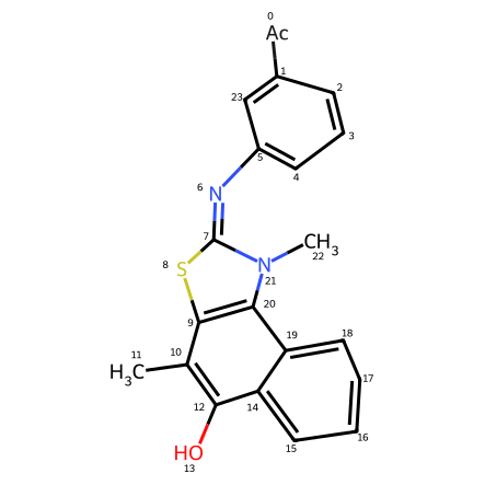 CC(=O)c1cccc(N=c2sc3c(C)c(O)c4ccccc4c3n2C)c1